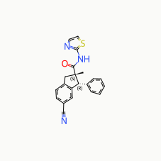 C[C@]1(C(=O)Nc2nccs2)Cc2ccc(C#N)cc2[C@H]1c1ccccc1